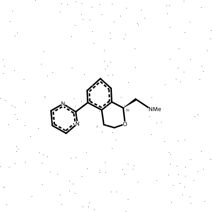 CNC[C@H]1OCCc2c(-c3ncccn3)cccc21